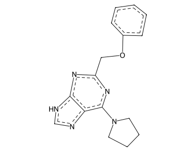 c1ccc(OCc2nc(N3CCCC3)c3nc[nH]c3n2)cc1